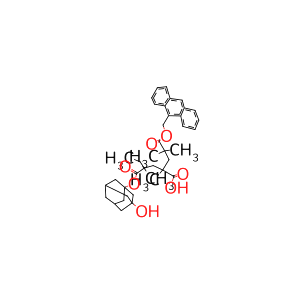 CCC(C)(CC(C)(CC(C)(C)C(=O)OCc1c2ccccc2cc2ccccc12)C(=O)O)C(=O)OC12CC3CC(CC(O)(C3)C1)C2